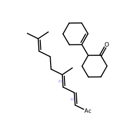 CC(=O)/C=C/C=C(\C)CCC=C(C)C.O=C1CCCCC1C1=CCCCC1